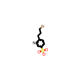 O=S(=O)([O-])c1ccc(CCCBr)cc1.[Na+]